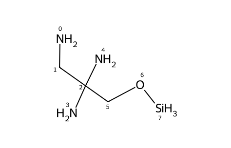 NCC(N)(N)CO[SiH3]